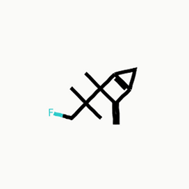 C=C1C2=C(C2)C1(C)C(C)(C)CF